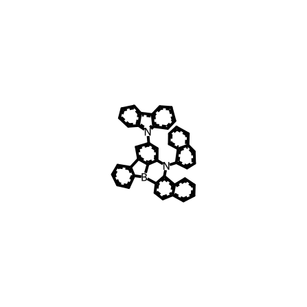 c1ccc2c(c1)B1c3ccc4ccccc4c3N(c3cccc4ccccc34)c3cc(-n4c5ccccc5c5ccccc54)cc-2c31